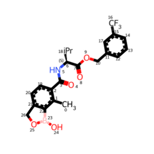 Cc1c(C(=O)N[C@H](C(=O)OCc2cccc(C(F)(F)F)c2)C(C)C)ccc2c1B(O)OC2